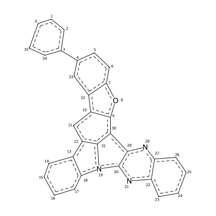 c1ccc(-c2ccc3oc4c(cc5c6ccccc6n6c7nc8ccccc8nc7c4c56)c3c2)cc1